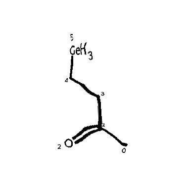 CC(=O)C[CH2][GeH3]